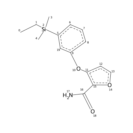 CC[Si](C)(C)c1cccc(Oc2ccoc2C(N)=O)c1